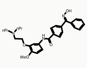 CCCN(CCC)CCOc1cc(NC(=O)c2ccc(C(=NO)c3ccccc3)cc2)ccc1OC